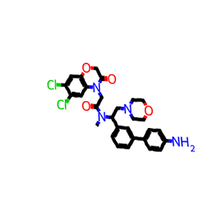 CN(C(=O)CN1C(=O)COc2cc(Cl)c(Cl)cc21)C(CN1CCOCC1)c1cccc(-c2ccc(N)cc2)c1